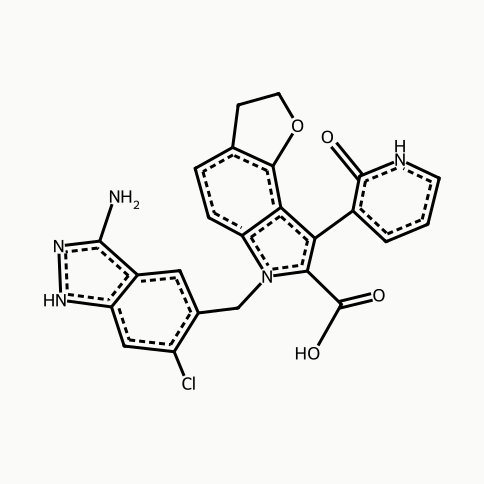 Nc1n[nH]c2cc(Cl)c(Cn3c(C(=O)O)c(-c4ccc[nH]c4=O)c4c5c(ccc43)CCO5)cc12